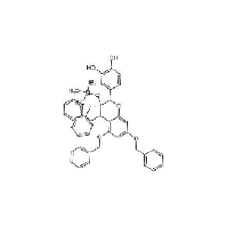 CC(C)(C)[Si](C)(C)O[C@]1(Cc2ccccc2)C(Cc2ccccc2)c2c(OCc3ccccc3)cc(OCc3ccccc3)cc2O[C@@H]1c1ccc(O)c(O)c1